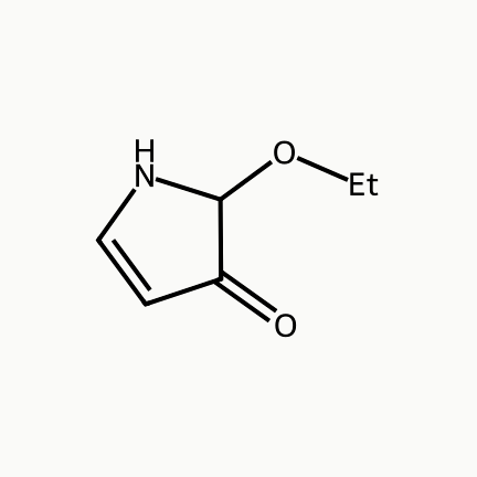 CCOC1NC=CC1=O